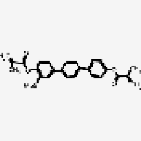 C=C(C)C(=O)Oc1ccc(-c2ccc(-c3ccc(OC(=O)C(=C)C)c(SC)c3)cc2)cc1